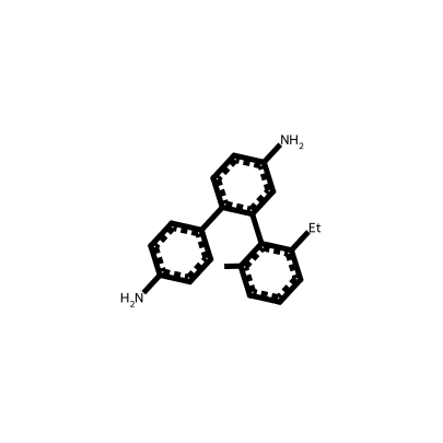 CCc1cccc(C)c1-c1cc(N)ccc1-c1ccc(N)cc1